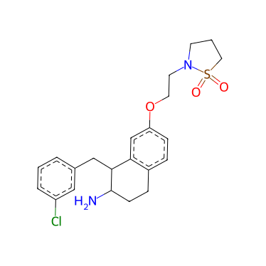 NC1CCc2ccc(OCCN3CCCS3(=O)=O)cc2C1Cc1cccc(Cl)c1